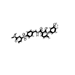 C=CC(CC(=O)N(C)C)S(=O)(=O)c1ccc(CNC(=O)c2ccc(C)n(-c3cccc(C(F)(F)F)c3)c2=O)cc1